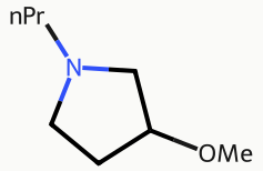 CCCN1CCC(OC)C1